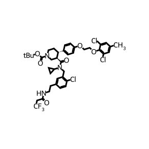 Cc1cc(Cl)c(OCCOc2ccc([C@H]3CCN(C(=O)OC(C)(C)C)C[C@@H]3C(=O)N(Cc3cc(CCNC(=O)CC(F)(F)F)ccc3Cl)C3CC3)cc2)c(Cl)c1